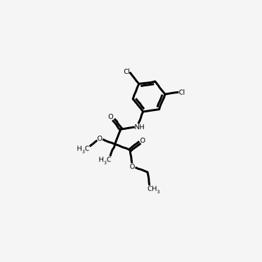 CCOC(=O)C(C)(OC)C(=O)Nc1cc(Cl)cc(Cl)c1